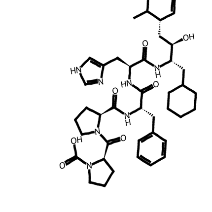 C=C[C@H](C[C@@H](O)[C@H](CC1CCCCC1)NC(=O)[C@H](Cc1c[nH]cn1)NC(=O)[C@H](Cc1ccccc1)NC(=O)[C@@H]1CCCN1C(=O)[C@H]1CCCN1C(=O)O)C(C)C